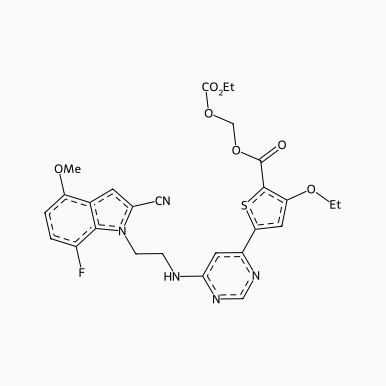 CCOC(=O)OCOC(=O)c1sc(-c2cc(NCCn3c(C#N)cc4c(OC)ccc(F)c43)ncn2)cc1OCC